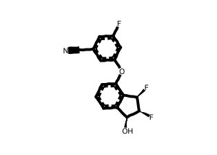 N#Cc1cc(F)cc(Oc2cccc3c2[C@@H](F)[C@@H](F)[C@H]3O)c1